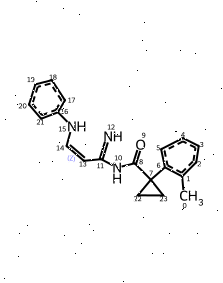 Cc1ccccc1C1(C(=O)NC(=N)/C=C\Nc2ccccc2)CC1